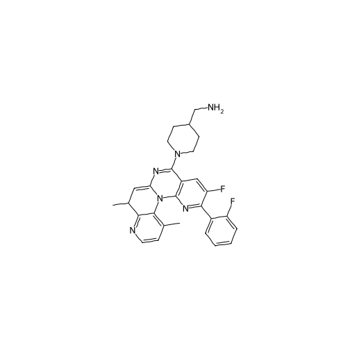 Cc1ccnc2c1N1C(=CC2C)N=C(N2CCC(CN)CC2)c2cc(F)c(-c3ccccc3F)nc21